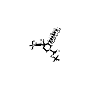 CC(C)(C)OC(=O)N1CCC(O)(C#C[Si](C)(C)C)CC1.[C]=O.[C]=O.[C]=O.[C]=O.[C]=O.[C]=O.[Co]